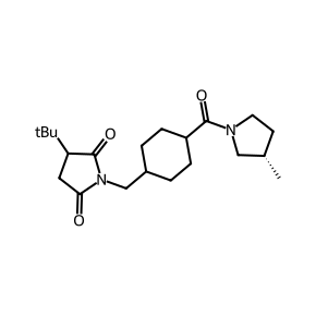 C[C@H]1CCN(C(=O)C2CCC(CN3C(=O)CC(C(C)(C)C)C3=O)CC2)C1